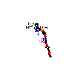 CC1=C(C(=O)O)C(c2cccc([N+](=O)[O-])c2)C(CCOc2ccc(OCCNCC(O)COc3ccc(CCOCC4CC4)cc3)cc2)(C(=O)O)C(C)N1